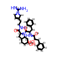 N=C(N)N1CC=C(CCNC(=O)C2CC3CCC(O)CC3N2C(=O)C(Cc2ccccc2)NC(=O)C(O)Cc2ccccc2)C1